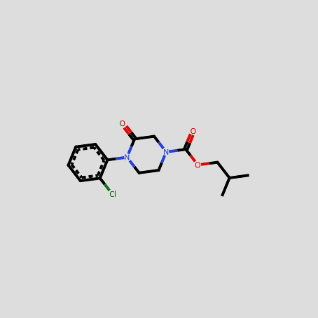 CC(C)COC(=O)N1CCN(c2ccccc2Cl)C(=O)C1